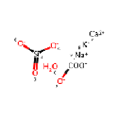 O.O=C([O-])[O-].O=[Si]([O-])[O-].[Ca+2].[K+].[Na+]